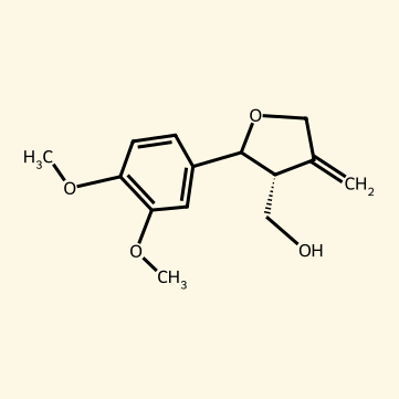 C=C1COC(c2ccc(OC)c(OC)c2)[C@H]1CO